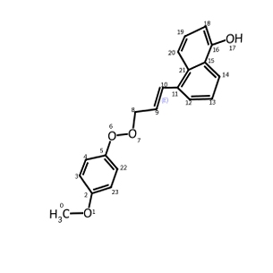 COc1ccc(OOC/C=C/c2cccc3c(O)cccc23)cc1